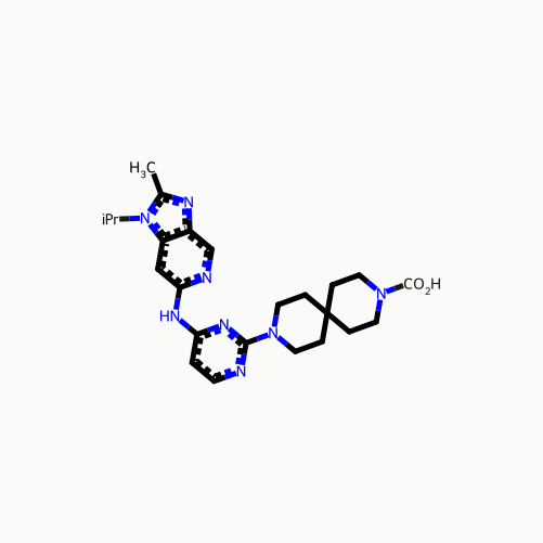 Cc1nc2cnc(Nc3ccnc(N4CCC5(CCN(C(=O)O)CC5)CC4)n3)cc2n1C(C)C